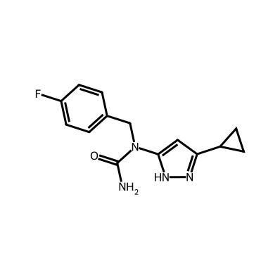 NC(=O)N(Cc1ccc(F)cc1)c1cc(C2CC2)n[nH]1